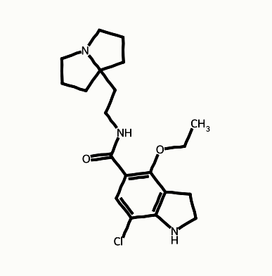 CCOc1c(C(=O)NCCC23CCCN2CCC3)cc(Cl)c2c1CCN2